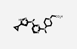 CN(c1cc(C2CC2)[nH]n1)c1ccnc(N(C)C2CCN(CC(=O)O)CC2)n1